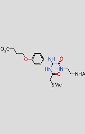 CSCC(=O)NC(Nc1ccc(OCCCC(=O)O)cc1)C(=O)NCCNC(C)=O